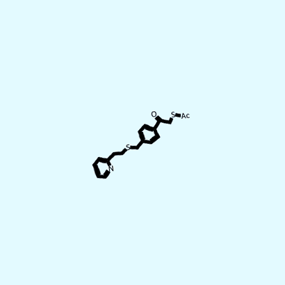 CC(=O)SCC(=O)c1ccc(CSCCc2ccccn2)cc1